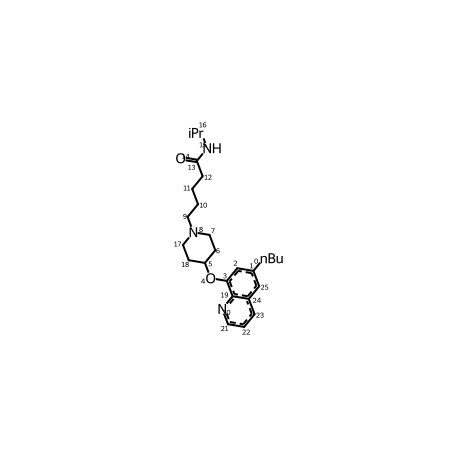 CCCCc1cc(OC2CCN(CCCCC(=O)NC(C)C)CC2)c2ncccc2c1